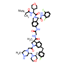 CN[C@@H](C)C(=O)N[C@H](C(=O)N1Cc2ccc(NC(=O)CNC(=O)[C@]3(C)CN(C(=O)CN4C[C@@H](C)NC[C@@H]4CN4CCOC[C@H]4C)c4cc(Cc5ccc(F)cc5)ccc43)cc2[C@H]1C(=O)Nc1c(F)cccc1F)C1CCOCC1